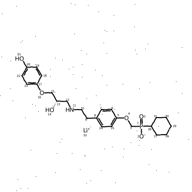 O=P([O-])(COc1ccc(CCNC[C@H](O)COc2ccc(O)cc2)cc1)C1CCCCC1.[Li+]